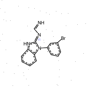 N=C/N=c1\[nH]c2ccccc2n1-c1cccc(Br)c1